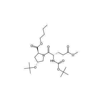 CCCCOC(=O)[C@@H]1C[C@@H](OC(C)(C)C)CN1C(=O)[C@H](CCC(=O)OC)NC(=O)OC(C)(C)C